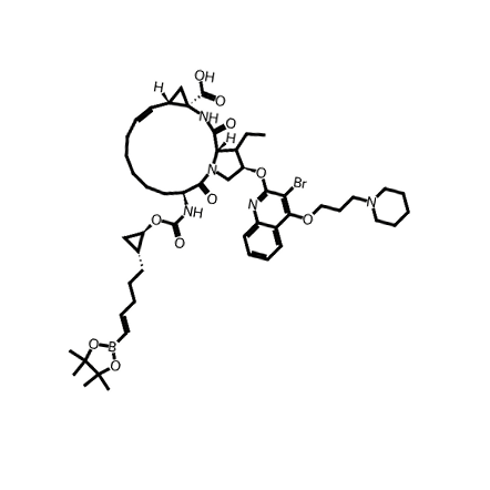 CCC1[C@@H](Oc2nc3ccccc3c(OCCCN3CCCCC3)c2Br)CN2C(=O)[C@@H](NC(=O)O[C@@H]3C[C@H]3CCCC=CB3OC(C)(C)C(C)(C)O3)CCCCCC=C[C@@H]3C[C@@]3(C(=O)O)NC(=O)[C@H]12